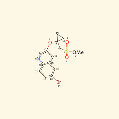 COS(=O)(=O)CC1(Oc2cnc3ccc(Br)cc3c2)CC1